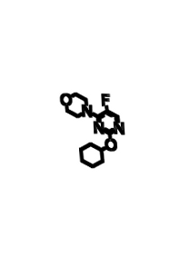 Fc1cnc(OC2CCCCC2)nc1N1CCOCC1